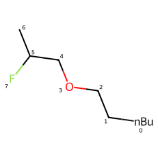 [CH2]CCCCCOCC(C)F